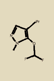 CC(C)c1[c]nn(C)c1OC(F)F